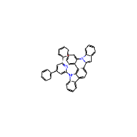 c1ccc(-c2cc(-c3ccccc3)nc(-n3c4ccccc4c4ccc5c(c6ccccc6n6c7ccccc7cc56)c43)c2)cc1